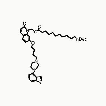 CCCCCCCCCCCCCCCCCCCCC(=O)OCn1c(=O)ccc2ccc(OCCCCN3CCN(c4cccc5sccc45)CC3)cc21